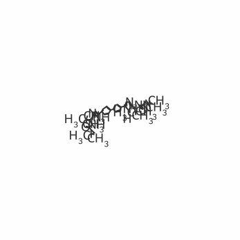 CC(C)(C)C(NC(=O)C1CC1(C)C)c1ncc(-c2ccc(-c3ccc(-c4cnc([C@@H](NC(=O)C5CC5(C)C)C(C)(C)C)[nH]4)cc3)cc2)[nH]1